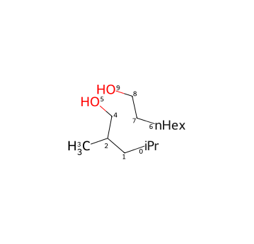 CC(C)CC(C)CO.CCCCCCCCO